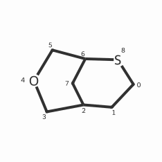 C1CC2COCC(C2)S1